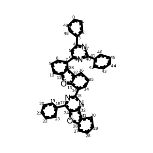 c1ccc(-c2cc(-c3cccc4oc5c(-c6nc(-c7ccccc7)c7oc8ccccc8c7n6)cccc5c34)nc(-c3ccccc3)n2)cc1